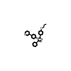 CCCOc1ccc(-c2nnc(-c3ccccc3)n2-c2ccc(-c3cccnc3)cc2)cc1